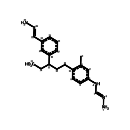 Cc1cc(NC=NN)ccc1CCC(CC(=O)O)c1cccc(C=NN)c1